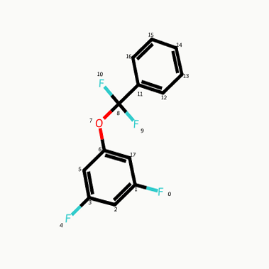 Fc1cc(F)cc(OC(F)(F)c2ccccc2)c1